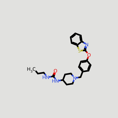 CCCNC(=O)NC1CCN(Cc2ccc(Oc3nc4ccccc4s3)cc2)CC1